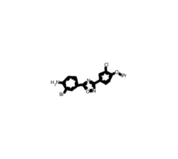 CC(C)Oc1ccc(-c2noc(-c3ccc(N)c(Br)c3)n2)cc1Cl